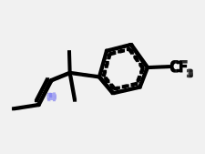 C/C=C/C(C)(C)c1ccc(C(F)(F)F)cc1